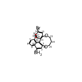 Bc1cc2c(c3ccccc13)-c1c(cc(Br)c3ccccc13)OCCCO2